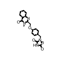 Cn1c(COc2ccc(Cn3oc(=O)[nH]c3=O)cc2)nc2ccccc2c1=O